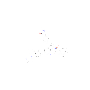 CN1CCN(c2ccc(-c3cnc4c(c3)c(-c3ccc(C(=O)N(C)C)cc3)cn4S(=O)(=O)c3ccccc3)cc2[N+](=O)[O-])CC1